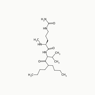 CCCCC(CCCC)C(=O)C(NC(=O)[C@H](CCCNC(N)=O)NC)C(C)C